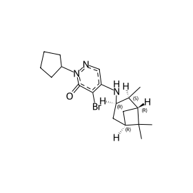 C[C@H]1[C@H]2C[C@H](C[C@H]1Nc1cnn(C3CCCC3)c(=O)c1Br)C2(C)C